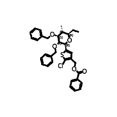 CC[C@H]1O[C@@H](c2cc(COC(=O)c3ccccc3)c(Cl)s2)[C@H](OCc2ccccc2)[C@@H](OCc2ccccc2)[C@@H]1C